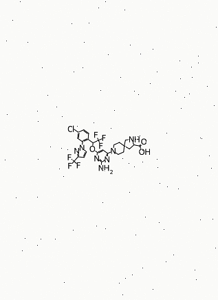 Nc1nc(OC(c2ccc(Cl)cc2-n2ccc(C(F)(F)F)n2)C(F)(F)F)cc(N2CCC3(CC2)CNC(C(=O)O)C3)n1